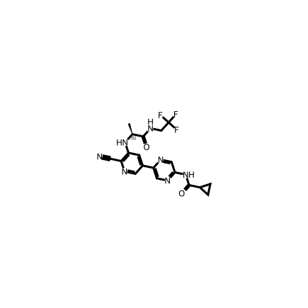 C[C@H](Nc1cc(-c2cnc(NC(=O)C3CC3)cn2)cnc1C#N)C(=O)NCC(F)(F)F